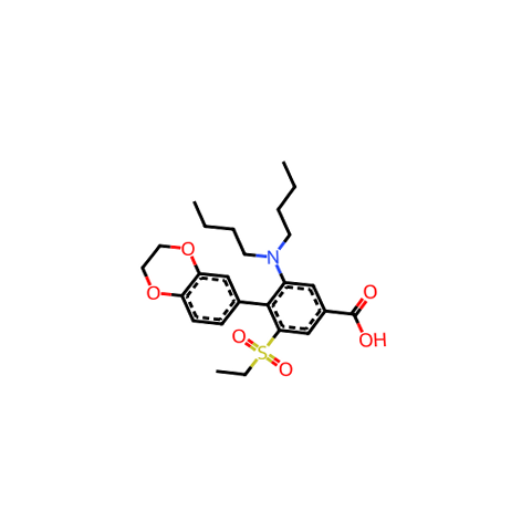 CCCCN(CCCC)c1cc(C(=O)O)cc(S(=O)(=O)CC)c1-c1ccc2c(c1)OCCO2